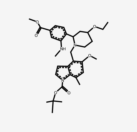 CCOC1CCN(Cc2c(OC)cc(C)c3c2ccn3C(=O)OC(C)(C)C)C(c2ccc(C(=O)OC)cc2NC)C1